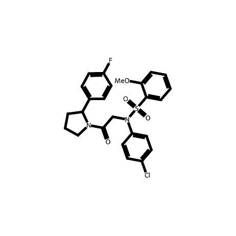 COc1ccccc1S(=O)(=O)N(CC(=O)N1CCCC1c1ccc(F)cc1)c1ccc(Cl)cc1